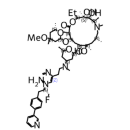 C=N/C(=C\N(N)[C@H](CF)Cc1ccc(-c2cccnc2)cc1)CCN(C)[C@@H]1C[C@H](O[C@@H]2C[C@H](O[C@H]3C[C@@](C)(OC)C[C@H](C)O3)[C@@H](C)C(=O)O[C@H](CC)[C@@](C)(O)[C@H](O)[C@@H](C)N(C)C[C@H](C)C[C@@]2(C)O)O[C@H](C)C1